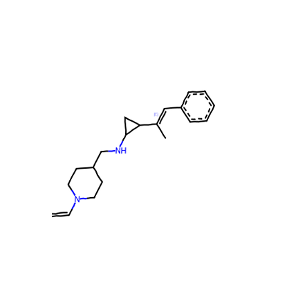 C=CN1CCC(CNC2CC2/C(C)=C/c2ccccc2)CC1